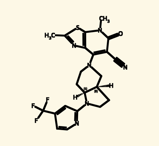 Cc1nc2c(N3CC[C@H]4[C@H](CCN4c4cc(C(F)(F)F)ccn4)C3)c(C#N)c(=O)n(C)c2s1